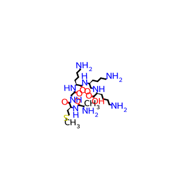 CSCC[C@H](NC(=O)[C@H](C)N)C(=O)NCC(=O)N[C@@H](CCCCN)C(=O)N[C@@H](CCCCN)C(=O)N[C@@H](CCCCN)C(=O)O